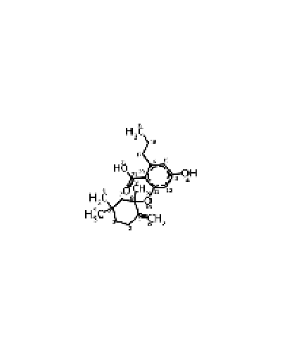 C=C1CCC(C)(C)CC1(C)Oc1cc(O)cc(CCC)c1C(=O)O